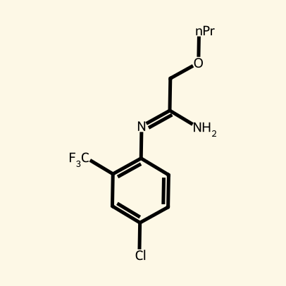 CCCOCC(N)=Nc1ccc(Cl)cc1C(F)(F)F